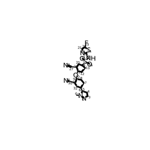 Cn1nccc1-c1ccc(Oc2ccc(S(=O)(=O)Nc3ncc(F)s3)cc2C#N)c(C#N)c1